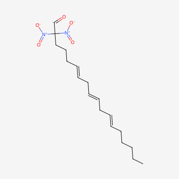 CCCCCC=CCC=CCC=CCCCC([C]=O)([N+](=O)[O-])[N+](=O)[O-]